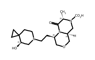 C[C@H]1C(=O)N2[C@H](CCN3CCC4(CC4)[C@H](O)C3)COC[C@@H]2CN1C(=O)O